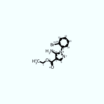 CCOC(=O)c1cnn(-c2ccccc2Br)c1N